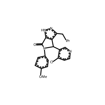 COc1ccc(N2C(=O)c3[nH]nc(CC(C)C)c3C2c2cnccc2Cl)cc1